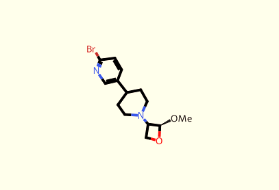 CO[C@H]1OCC1N1CCC(c2ccc(Br)nc2)CC1